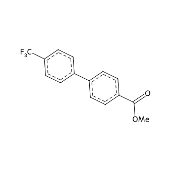 COC(=O)c1ccc(-c2ccc(C(F)(F)F)cc2)cc1